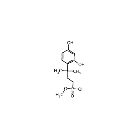 COP(=O)(O)CCC(C)(C)c1ccc(O)cc1O